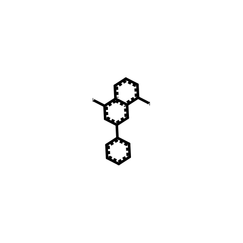 Ic1cc(-c2ccccc2)cc2c(I)cccc12